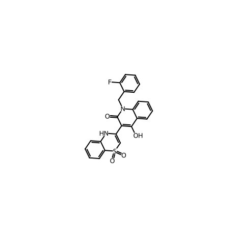 O=c1c(C2=CS(=O)(=O)c3ccccc3N2)c(O)c2ccccc2n1Cc1ccccc1F